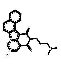 CN(C)CCCC1C(=O)c2cncn3c2c(c2c4ccccc4ccc23)C1=O.Cl